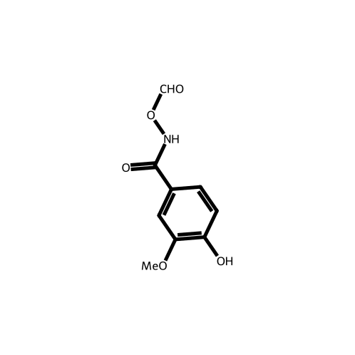 COc1cc(C(=O)NOC=O)ccc1O